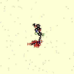 O=C(CCCCc1cc(Cl)c(COC2(c3cnccc3-c3ccccc3OC3CC3)CC2)cc1Cl)N(CCCO)CC(O)C(O)C(O)C(O)CO